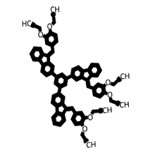 C#CCOc1ccc(/C=C2\c3ccccc3-c3ccc(-c4cc(-c5ccc6c(c5)/C(=C/c5ccc(OCC#C)c(OCC#C)c5)c5ccccc5-6)cc(-c5ccc6c(c5)/C(=C/c5ccc(OCC#C)c(OCC#C)c5)c5ccccc5-6)c4)cc32)cc1OCC#C